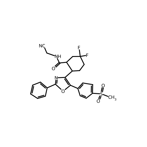 CS(=O)(=O)c1ccc(-c2oc(-c3ccccc3)nc2C2CCC(F)(F)CC2C(=O)NCC#N)cc1